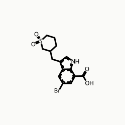 O=C(O)c1cc(Br)cc2c(CC3CCCS(=O)(=O)C3)c[nH]c12